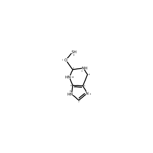 SOC1NCc2n[c][nH]c2N1